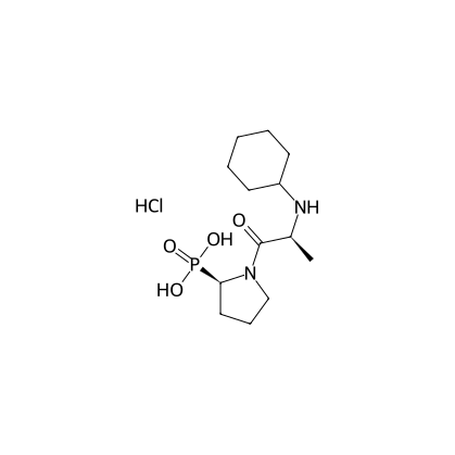 C[C@H](NC1CCCCC1)C(=O)N1CCC[C@H]1P(=O)(O)O.Cl